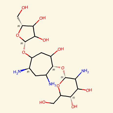 NC1C(O)[C@H](O)C(CO)O[C@@H]1O[C@@H]1C(N)C[C@@H](N)C(O[C@@H]2O[C@H](CO)C(O)C2O)CC1O